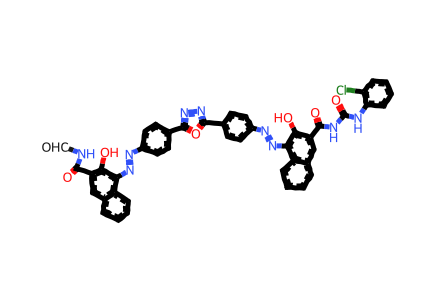 O=CNC(=O)c1cc2ccccc2c(N=Nc2ccc(-c3nnc(-c4ccc(N=Nc5c(O)c(C(=O)NC(=O)Nc6ccccc6Cl)cc6ccccc56)cc4)o3)cc2)c1O